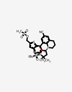 CC1(C)C[C@H](N2CCCc3cc(C#N)cc(-c4ccnc5cc(COS(C)(=O)=O)sc45)c32)CN1S(=O)(=O)C(C)(C)C